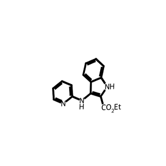 CCOC(=O)c1[nH]c2ccccc2c1Nc1ccccn1